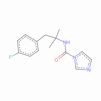 CC(C)(Cc1ccc(F)cc1)NC(=O)n1ccnc1